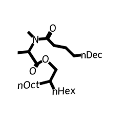 CCCCCCCCCCCCCC(=O)N(C)C(C)C(=O)OCC(CCCCCC)CCCCCCCC